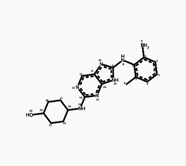 Bc1cccc(C)c1Nc1nc2cnc(NC3CCC(O)CC3)nc2[nH]1